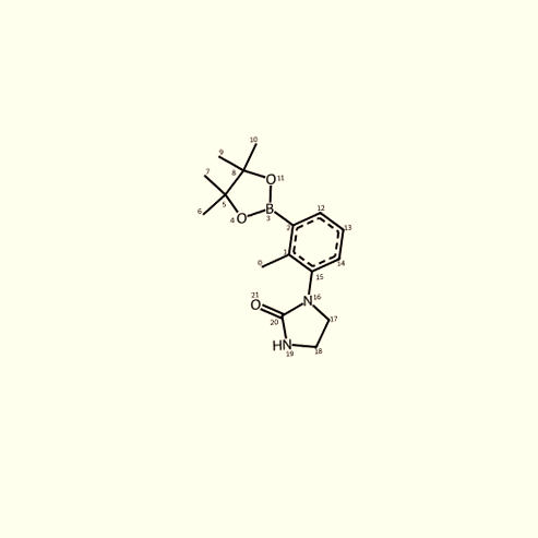 Cc1c(B2OC(C)(C)C(C)(C)O2)cccc1N1CCNC1=O